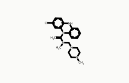 C=C(N(C)CN1CCN(C)CC1)N1c2ccccc2Nc2ccc(Cl)cc21